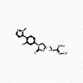 CN/C(=N\C#N)NC[C@H]1CN(c2ccc(-c3ccnn3C)c(F)c2)C(=O)O1